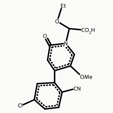 CCOC(C(=O)O)n1cc(OC)c(-c2cc(Cl)ccc2C#N)cc1=O